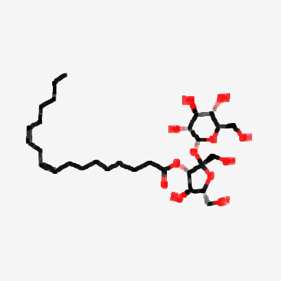 CCCCC/C=C\C/C=C\CCCCCCCC(=O)O[C@H]1[C@H](O)[C@@H](CO)O[C@@]1(CO)O[C@H]1O[C@H](CO)[C@@H](O)[C@H](O)[C@H]1O